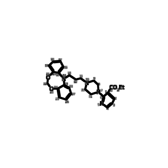 CCOC(=O)c1cccnc1N1CCN(CCCN2c3ccccc3OCOc3ccccc32)CC1